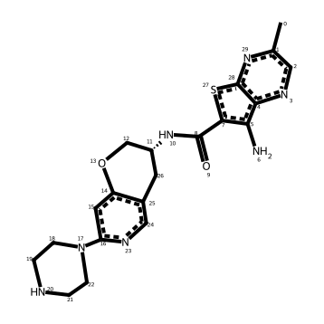 Cc1cnc2c(N)c(C(=O)N[C@H]3COc4cc(N5CCNCC5)ncc4C3)sc2n1